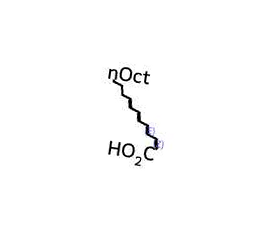 CCCCCCCCCCCC=CC=C/C=C/C=C\C(=O)O